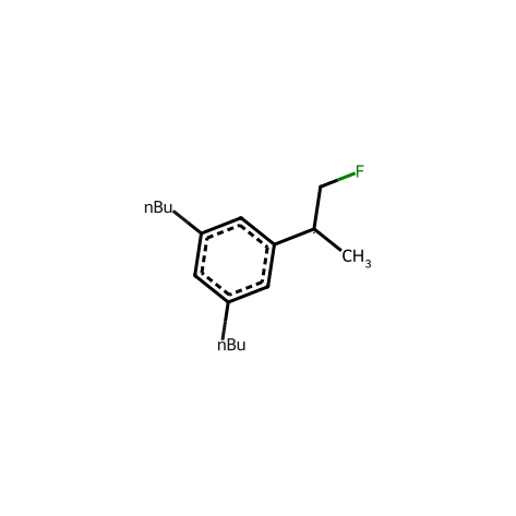 CCCCc1cc(CCCC)cc([C](C)CF)c1